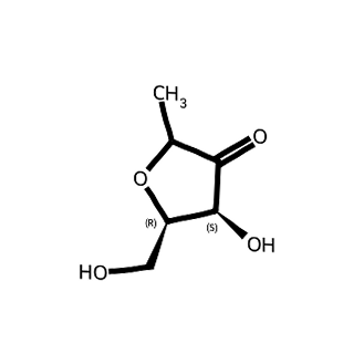 CC1O[C@H](CO)[C@H](O)C1=O